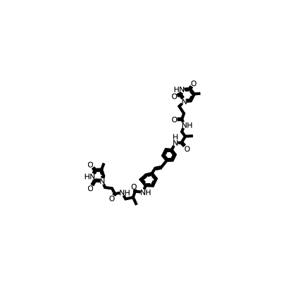 Cc1cn(CCC(=O)NCC(C)C(=O)Nc2ccc(/C=C/c3ccc(NC(=O)C(C)CNC(=O)CCn4cc(C)c(=O)[nH]c4=O)cc3)cc2)c(=O)[nH]c1=O